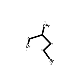 CCCC(CBr)CCBr